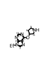 CCn1cnc2c(OC3CCNC3)ncnc21